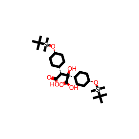 CC(C)(C)[Si](C)(C)O[C@H]1CC[C@@H](C(C(=O)O)C(O)(C(=O)O)[C@H]2CC[C@@H](O[Si](C)(C)C(C)(C)C)CC2)CC1